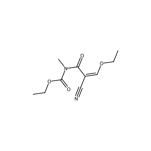 CCOC=C(C#N)C(=O)N(C)C(=O)OCC